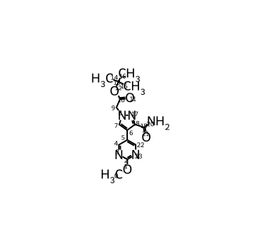 COc1ncc(-c2cn(CC(=O)OC(C)(C)C)nc2C(N)=O)cn1